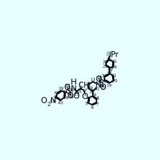 CC(COc1ccccc1C1CCCN(S(=O)(=O)c2cccc(-c3ccc(C(C)C)cc3)c2)C1)C(=O)NS(=O)(=O)c1ccc([N+](=O)[O-])cc1